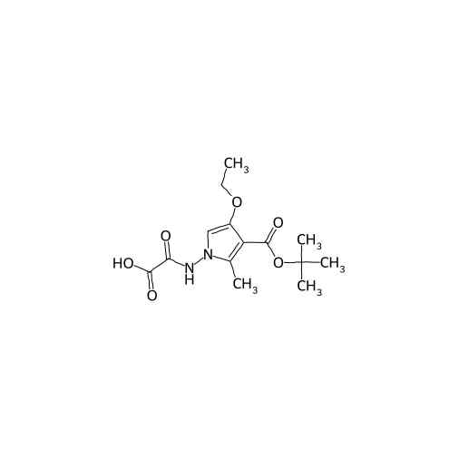 CCOc1cn(NC(=O)C(=O)O)c(C)c1C(=O)OC(C)(C)C